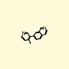 Cc1ccncc1-c1ccc2ccncc2c1